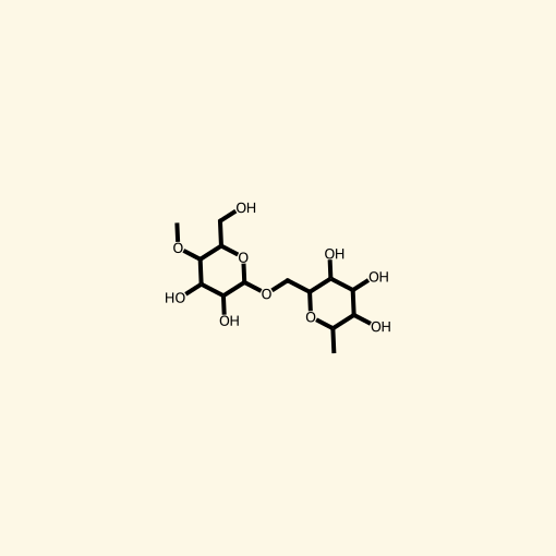 COC1C(CO)OC(OCC2OC(C)C(O)C(O)C2O)C(O)C1O